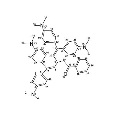 CN(C)c1ccc(C(=CC(C=C(c2ccc(N(C)C)cc2)c2ccc(N(C)C)cc2)CC(=O)c2ccccc2)c2ccc(N(C)C)cc2)cc1